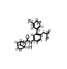 O=C(Nc1ccc(CC(F)F)c(-c2cncc(F)c2)c1)N1C2CCCC1C2